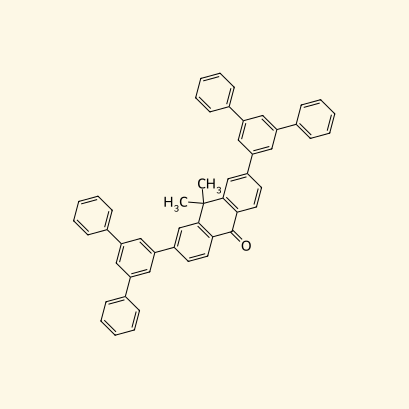 CC1(C)c2cc(-c3cc(-c4ccccc4)cc(-c4ccccc4)c3)ccc2C(=O)c2ccc(-c3cc(-c4ccccc4)cc(-c4ccccc4)c3)cc21